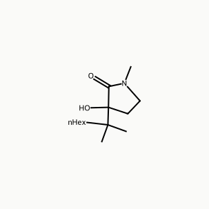 CCCCCCC(C)(C)C1(O)CCN(C)C1=O